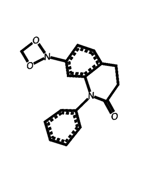 O=C1CCc2ccc(N3OCO3)cc2N1c1ccccc1